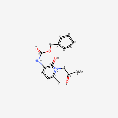 COC(=O)Cn1c(C)ccc(NC(=O)OCc2ccccc2)c1=O